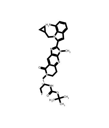 Cn1c(-c2cc3cccc(N)c3n2CC2CC2)nc2cc3c(nc21)CCN(C[C@@H](CF)NC(=O)OC(C)(C)C)C3=O